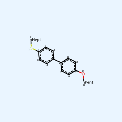 CCCCCCCSc1ccc(-c2ccc(OCCCCC)cc2)cc1